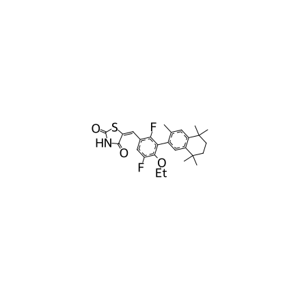 CCOc1c(F)cc(/C=C2/SC(=O)NC2=O)c(F)c1-c1cc2c(cc1C)C(C)(C)CCC2(C)C